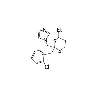 CCC1CCSC(Cc2ccccc2Cl)(Cn2ccnc2)S1